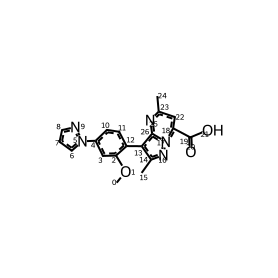 COc1cc(-n2cccn2)ccc1-c1c(C)nn2c(C(=O)O)cc(C)nc12